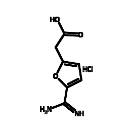 Cl.N=C(N)c1ccc(CC(=O)O)o1